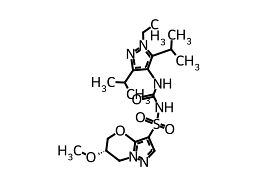 CCn1nc(C(C)C)c(NC(=O)NS(=O)(=O)c2cnn3c2OC[C@@H](OC)C3)c1C(C)C